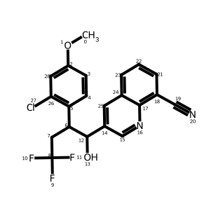 COc1ccc(C(CC(F)(F)F)C(O)c2cnc3c(C#N)cccc3c2)c(Cl)c1